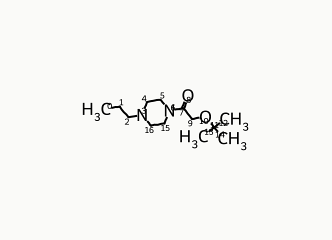 CCCN1CCN(C(=O)COC(C)(C)C)CC1